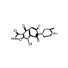 CCn1c2o[nH]c(=O)c2c(=O)c2cc(F)c(N3CCNC(C)C3)c(Cl)c21